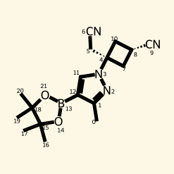 Cc1nn([C@]2(CC#N)C[C@@H](C#N)C2)cc1B1OC(C)(C)C(C)(C)O1